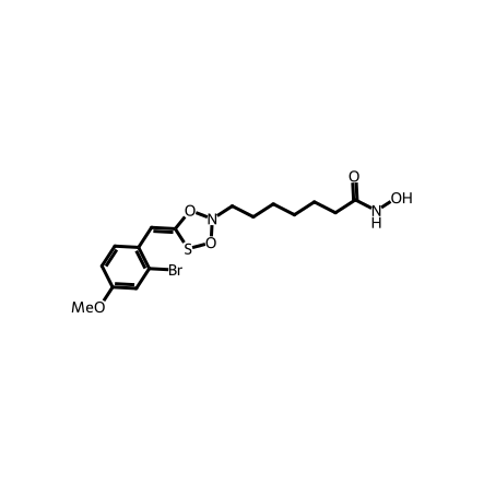 COc1ccc(C=C2ON(CCCCCCC(=O)NO)OS2)c(Br)c1